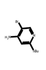 CCCCc1cc(N)c(Br)cn1